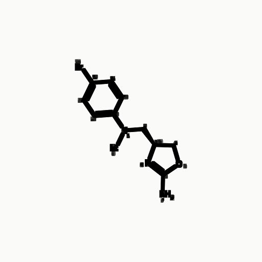 CCN(C[C@H]1COC(N)=N1)c1ccc(Br)cc1